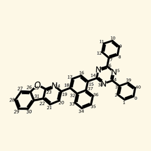 c1ccc(-c2nc(-c3ccccc3)nc(-c3ccc(-c4ccc5c(n4)oc4ccccc45)c4ccccc34)n2)cc1